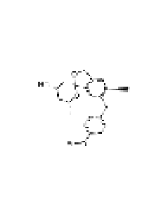 C#Cc1cc2c(cc1Cc1ccc(OCC)cc1)[C@]1(C[C@@H](O)C[C@@H](C)O1)OC2